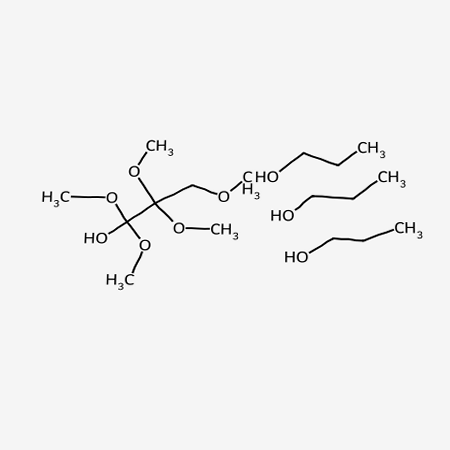 CCCO.CCCO.CCCO.COCC(OC)(OC)C(O)(OC)OC